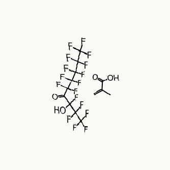 C=C(C)C(=O)O.O=C(C(O)(F)C(F)(F)C(F)(F)F)C(F)(F)C(F)(F)C(F)(F)C(F)(F)C(F)(F)F